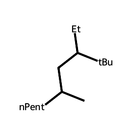 CCCCCC(C)CC(CC)C(C)(C)C